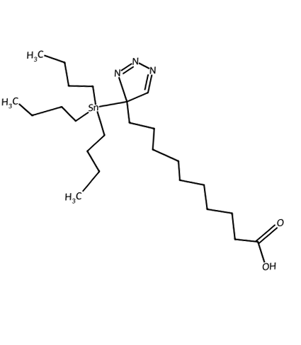 CCC[CH2][Sn]([CH2]CCC)([CH2]CCC)[C]1(CCCCCCCCCC(=O)O)C=NN=N1